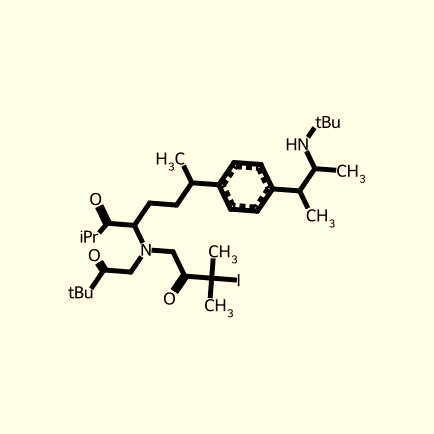 CC(C)C(=O)C(CCC(C)c1ccc(C(C)C(C)NC(C)(C)C)cc1)N(CC(=O)C(C)(C)C)CC(=O)C(C)(C)I